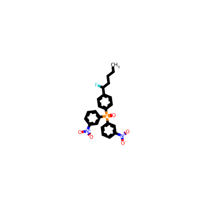 CCCCC(F)c1ccc(P(=O)(c2cccc([N+](=O)[O-])c2)c2cccc([N+](=O)[O-])c2)cc1